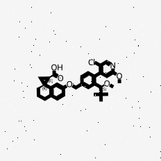 COc1cc(-c2ccc(COc3ccc4c(c3)[C@]3(CCC4)C[C@H]3C(=O)O)cc2[C@@H](OC)C(C)(C)C)c(Cl)cn1